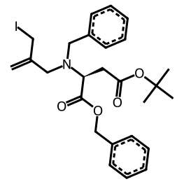 C=C(CI)CN(Cc1ccccc1)[C@@H](CC(=O)OC(C)(C)C)C(=O)OCc1ccccc1